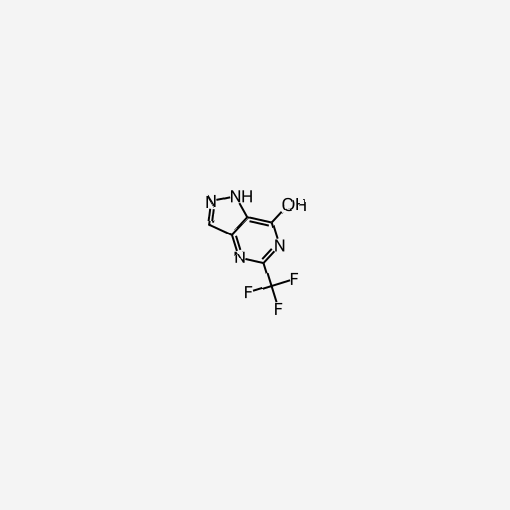 Oc1nc(C(F)(F)F)nc2cn[nH]c12